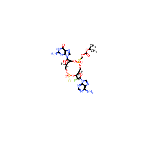 CC(C)OC(=O)OCSP1(=O)OC[C@H]2O[C@@H](n3cnc4c(N)ncnc43)C(F)C2OP(=O)(S)OC[C@H]2OC(n3cnc4c(=O)[nH]c(N)nc43)C(O1)C2O